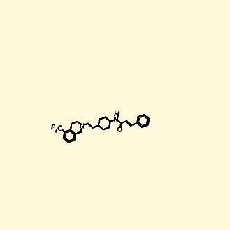 O=C(C=Cc1ccccc1)NC1CCC(CCN2CCc3c(cccc3C(F)(F)F)C2)CC1